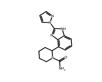 NC(=O)N1CCCCC1c1cccc2[nH]c(-n3cccn3)nc12